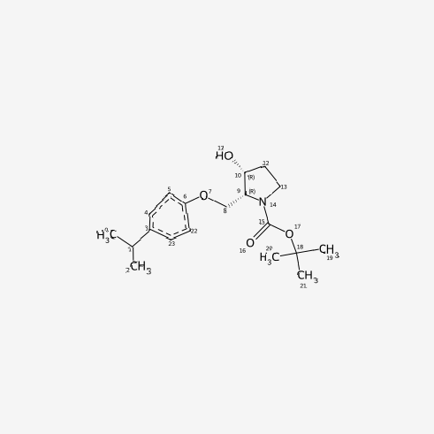 CC(C)c1ccc(OC[C@@H]2[C@H](O)CCN2C(=O)OC(C)(C)C)cc1